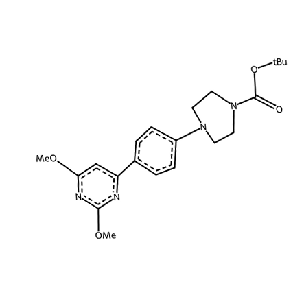 COc1cc(-c2ccc(N3CCN(C(=O)OC(C)(C)C)CC3)cc2)nc(OC)n1